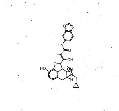 C/C(C(=O)Nc1ccc2ncoc2c1)=C(/O)[C@@H]1Oc2c(O)ccc3c2[C@@]12CCN(CC1CC1)[C@H](C3)[C@@]2(C)O